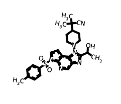 Cc1ccc(S(=O)(=O)n2ccc3c2ncc2nc(C(C)O)n(N4CCC(C(C)(C)C#N)CC4)c23)cc1